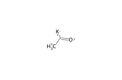 CC=O.[K]